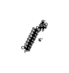 O=S(=O)([O-])C(F)(F)C(F)(F)OC(F)(F)C(F)(F)C(F)(F)C(F)(F)C(F)(F)C(F)(F)C(F)(F)C(F)(F)Cl.[K+]